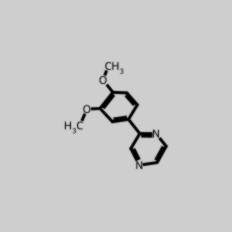 COc1ccc(-c2cnccn2)cc1OC